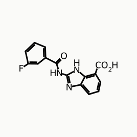 O=C(Nc1nc2cccc(C(=O)O)c2[nH]1)c1cccc(F)c1